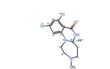 CN1CC[C@@H]2NC(=O)c3c(Cl)cc(Cl)cc3N2CC1